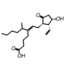 C=C[C@H]1[C@H](O)CC(=O)[C@@H]1C/C=C(\CCCC(=O)O)C(C)CCCC